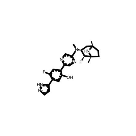 CN(c1cnc(-c2cc(F)c(-c3ccn[nH]3)cc2O)cn1)[C@H]1C[C@]2(C)CC[C@@](C)(N2)[C@H]1F